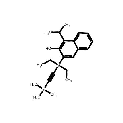 CC[Si](C#C[Si](C)(C)C)(CC)c1cc2ccccc2c(C(C)C)c1O